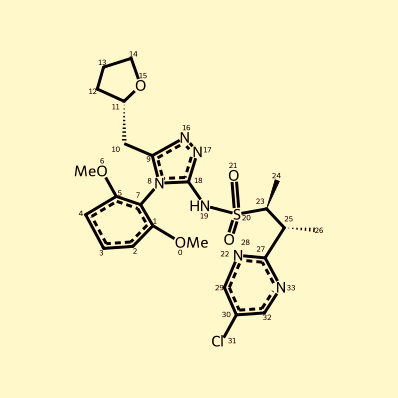 COc1cccc(OC)c1-n1c(C[C@@H]2CCCO2)nnc1NS(=O)(=O)[C@@H](C)[C@H](C)c1ncc(Cl)cn1